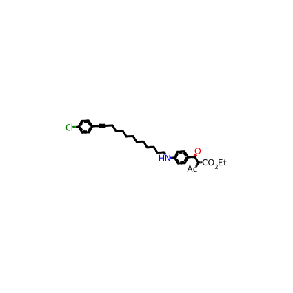 CCOC(=O)C(C(C)=O)C(=O)c1ccc(NCCCCCCCCCCCC#Cc2ccc(Cl)cc2)cc1